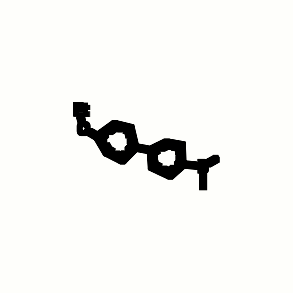 CCOc1ccc(-c2ccc(B(C)C)cc2)cc1